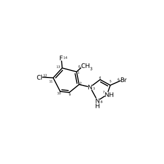 Cc1c(N2C=C(Br)NN2)ccc(Cl)c1F